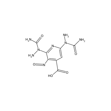 NC(=O)N(N)c1cc(C(=O)O)c(N=O)c(N(N)C(N)=O)n1